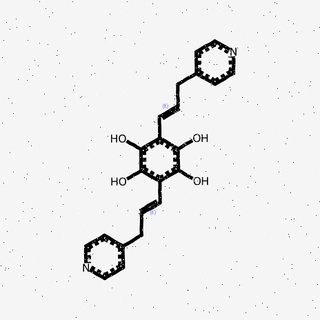 Oc1c(O)c(/C=C/Cc2ccncc2)c(O)c(O)c1/C=C/Cc1ccncc1